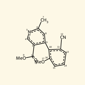 COC(=O)c1cnc(C)cc1-c1c(C#N)cccc1OC